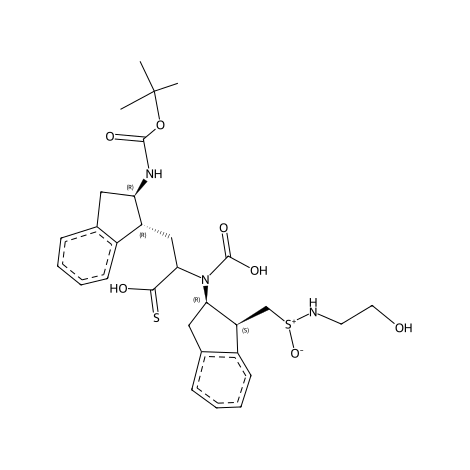 CC(C)(C)OC(=O)N[C@@H]1Cc2ccccc2[C@H]1CC(C(O)=S)N(C(=O)O)[C@@H]1Cc2ccccc2[C@@H]1C[S+]([O-])NCCO